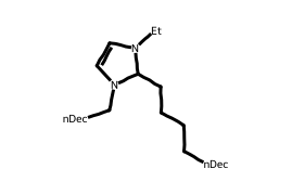 CCCCCCCCCCCCCCC1N(CC)C=CN1CCCCCCCCCCC